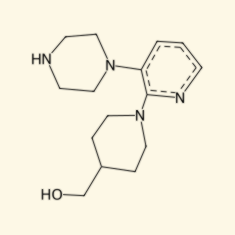 OCC1CCN(c2ncccc2N2CCNCC2)CC1